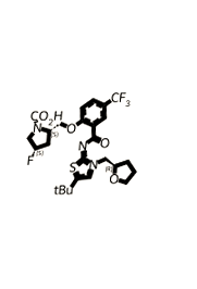 CC(C)(C)c1cn(C[C@H]2CCCO2)c(=NC(=O)c2cc(C(F)(F)F)ccc2OC[C@@H]2C[C@H](F)CN2C(=O)O)s1